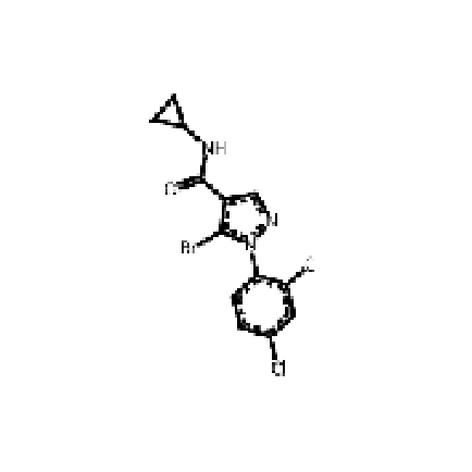 O=C(NC1CC1)c1cnn(-c2ccc(Cl)cc2Cl)c1Br